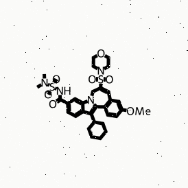 COc1ccc2c(c1)C=C(S(=O)(=O)N1CCOCC1)Cn1c-2c(C2CCCCC2)c2ccc(C(=O)NS(=O)(=O)N(C)C)cc21